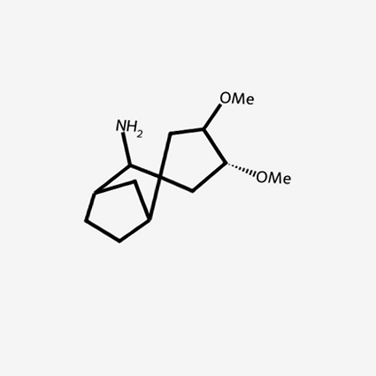 COC1CC2(C[C@H]1OC)C1CCC(C1)C2N